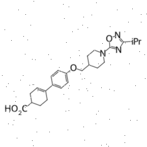 CC(C)c1noc(N2CCC(COc3ccc(C4=CCC(C(=O)O)CC4)cc3)CC2)n1